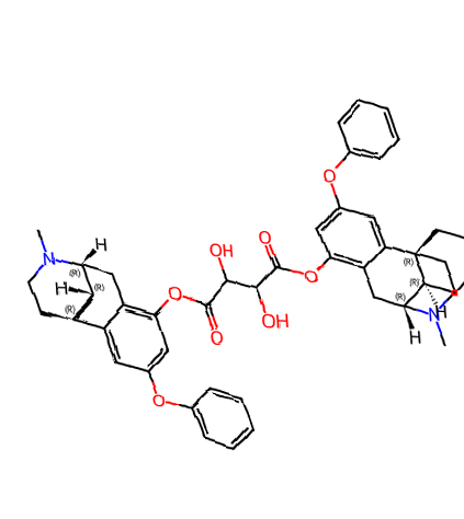 CN1CC[C@]23CCCC[C@H]2[C@H]1Cc1c(OC(=O)C(O)C(O)C(=O)Oc2cc(Oc4ccccc4)cc4c2C[C@@H]2[C@@H]5CCCC[C@]45CCN2C)cc(Oc2ccccc2)cc13